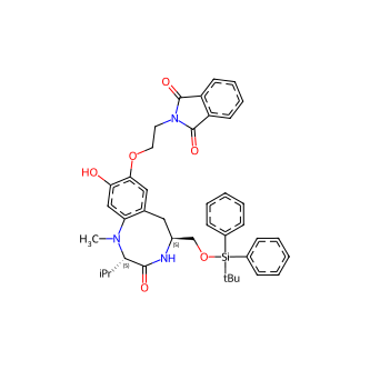 CC(C)[C@H]1C(=O)N[C@H](CO[Si](c2ccccc2)(c2ccccc2)C(C)(C)C)Cc2cc(OCCN3C(=O)c4ccccc4C3=O)c(O)cc2N1C